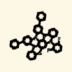 Fc1cccc(F)c1N1c2ccccc2B2c3cc(-c4ccccc4)ccc3N3c4ccc(-c5ccccc5)cc4B4c5ccccc5Sc5cc1c2c3c54